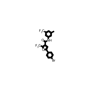 Cc1cc(NC(=O)c2cc(-c3ccc(Br)cc3)oc2C(F)(F)F)cc(C(F)(F)F)c1